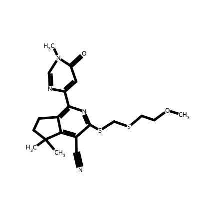 COCCSCSc1nc(-c2cc(=O)n(C)cn2)c2c(c1C#N)C(C)(C)CC2